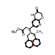 C[C@H](c1ccccc1)N(Cc1ccccc1)[C@@H](CC(=O)OC(C)(C)C)c1cnc2c(c1)NC(=O)CO2